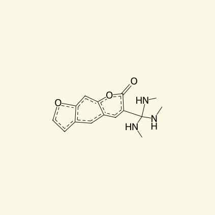 CNC(NC)(NC)c1cc2cc3ccoc3cc2oc1=O